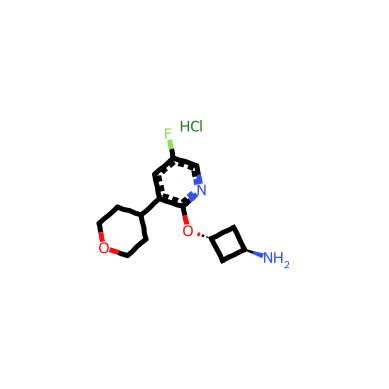 Cl.N[C@H]1C[C@H](Oc2ncc(F)cc2C2CCOCC2)C1